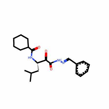 CC(C)C[C@H](NC(=O)C1CCCCC1)C(=O)C(=O)N/N=C/c1ccccc1